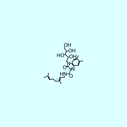 CC(C)=CCC/C(C)=C/CNC(=O)c1nc2cc(C)c(C)cc2n(CC(O)C(O)C(O)CO)c1=O